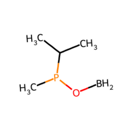 BOP(C)C(C)C